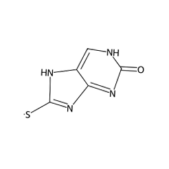 O=c1nc2nc([S])[nH]c2c[nH]1